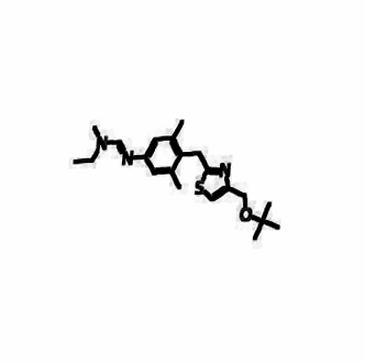 CCN(C)C=Nc1cc(C)c(Cc2nc(COC(C)(C)C)cs2)c(C)c1